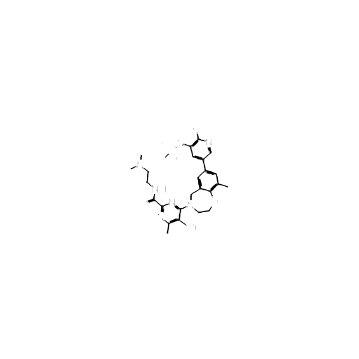 Cc1cc(-c2cnc(Cl)c(NS(C)(=O)=O)c2)cc2c1OCCN(c1nc(C(=O)NCCN(C)C)nc(C)c1C(C)C)C2